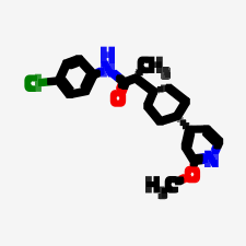 COc1cc([C@H]2CC[C@@H]([C@@H](C)C(=O)Nc3ccc(Cl)cc3)CC2)ccn1